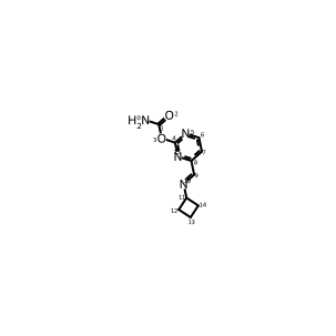 NC(=O)Oc1nccc(C=NC2CCC2)n1